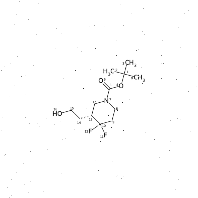 CC(C)(C)OC(=O)N1CCC(F)(F)[C@H](CCO)C1